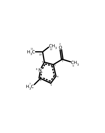 CC(=O)c1ccc(C)nc1C(C)C